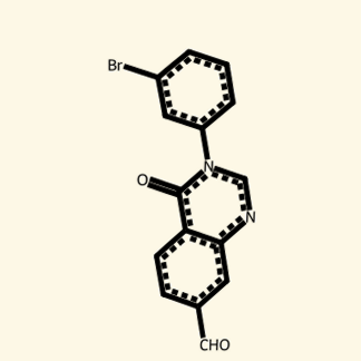 O=Cc1ccc2c(=O)n(-c3cccc(Br)c3)cnc2c1